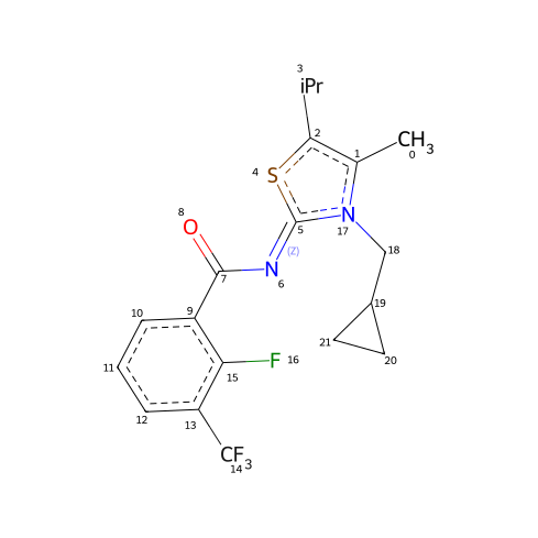 Cc1c(C(C)C)s/c(=N\C(=O)c2cccc(C(F)(F)F)c2F)n1CC1CC1